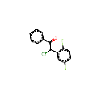 O=C(c1ccccc1)C(Cl)c1cc(F)ccc1F